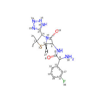 CC1(C)S[C@H]2C(NC(=O)C(N)c3cccc(F)c3)C(=O)N2C1c1nnn[nH]1